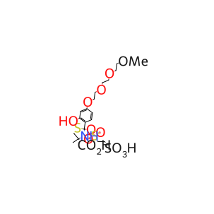 COCCOCCOCCOc1ccc(C2(OS(=O)(=O)CCS(=O)(=O)O)N[C@@](C)(C(=O)O)CS2)c(O)c1